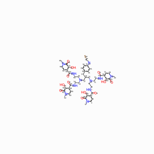 Cn1ccc(C(=O)NCCN(CCNC(=O)c2ccn(C)c(=O)c2O)CC(Cc2ccc(N=C=S)cc2)CN(CCNC(=O)c2ccn(C)c(=O)c2O)CCNC(=O)c2ccn(C)c(=O)c2O)c(O)c1=O